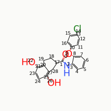 O=C(Nc1ccccc1Oc1ccc(Cl)cc1)C1CCc2c(O)ccc(O)c2C1